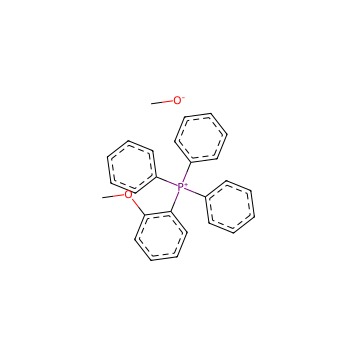 COc1ccccc1[P+](c1ccccc1)(c1ccccc1)c1ccccc1.C[O-]